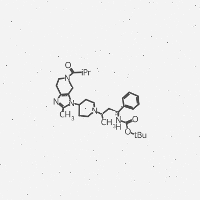 Cc1nc2c(n1C1CCN(C(C)C[C@H](NC(=O)OC(C)(C)C)c3ccccc3)CC1)CN(C(=O)C(C)C)CC2